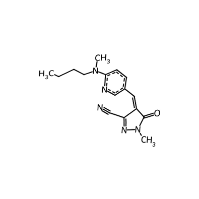 CCCCN(C)c1ccc(C=C2C(=O)N(C)N=C2C#N)cn1